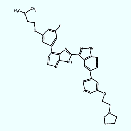 CN(C)CCOc1cc(F)cc(-c2ccnc3[nH]c(-c4n[nH]c5ccc(-c6cncc(OCCN7CCCC7)c6)cc45)nc23)c1